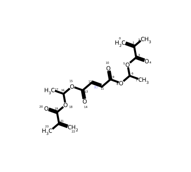 C=C(C)C(=O)OC(C)OC(=O)/C=C/C(=O)OC(C)OC(=O)C(=C)C